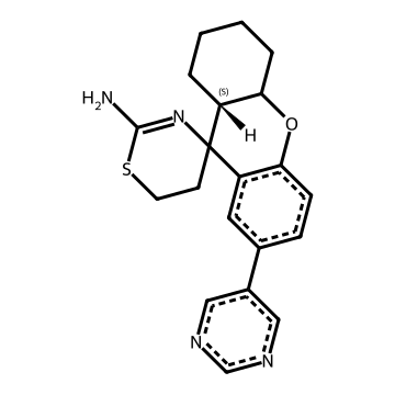 NC1=NC2(CCS1)c1cc(-c3cncnc3)ccc1OC1CCCC[C@H]12